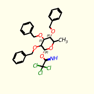 CC1O[C@H](OC(=N)C(Cl)(Cl)Cl)C(OCc2ccccc2)[C@@H](OCc2ccccc2)[C@@H]1OCc1ccccc1